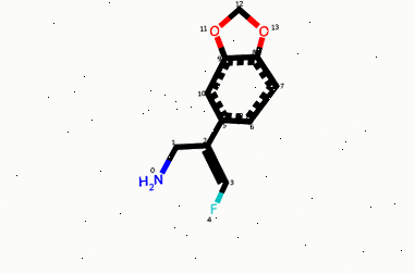 NCC(=CF)c1ccc2c(c1)OCO2